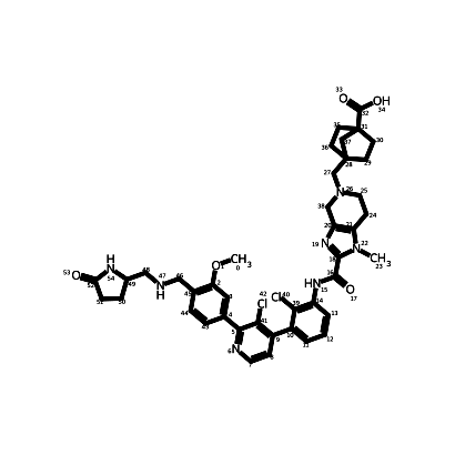 COc1cc(-c2nccc(-c3cccc(NC(=O)c4nc5c(n4C)CCN(CC46CCC(C(=O)O)(CC4)C6)C5)c3Cl)c2Cl)ccc1CNCC1CCC(=O)N1